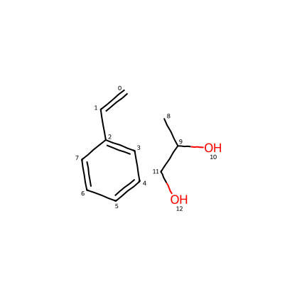 C=Cc1ccccc1.CC(O)CO